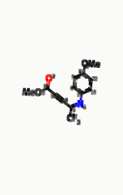 COC(=O)C#CC(=Nc1ccc(OC)cc1)C(F)(F)F